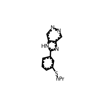 CCCSc1cccc(-c2nc3cnncc3[nH]2)c1